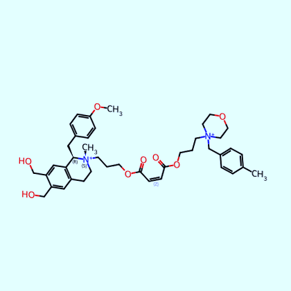 COc1ccc(C[C@@H]2c3cc(CO)c(CO)cc3CC[N@@+]2(C)CCCOC(=O)/C=C\C(=O)OCCC[N+]2(Cc3ccc(C)cc3)CCOCC2)cc1